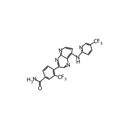 NC(=O)c1ccc(-c2cnc3c(Nc4ccc(C(F)(F)F)cn4)ccnc3n2)c(C(F)(F)F)c1